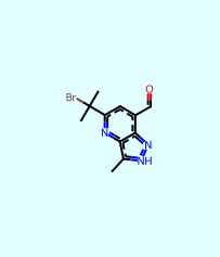 Cc1[nH]nc2c(C=O)cc(C(C)(C)Br)nc12